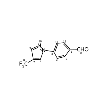 O=Cc1ccc(-n2cc(C(F)(F)F)cn2)cc1